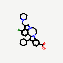 O=C(O)c1ccc2c(C3CCCCC3)c3n(c2c1)CCCn1cc(CN2CCCCC2)c2c(Cl)ccc-3c21